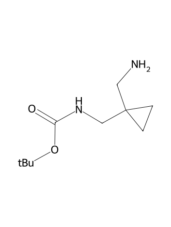 CC(C)(C)OC(=O)NCC1(CN)CC1